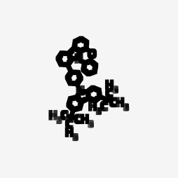 CC(C)(C)c1ccc2c(c1)c1cc(C(C)(C)C)ccc1n2-c1ccc(-c2cccc3c4cccc5c4n(c23)-c2ccccc2O5)cc1